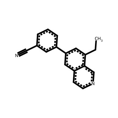 CCc1cc(-c2cccc(C#N)c2)cc2ccncc12